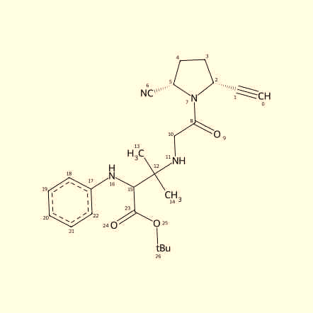 C#C[C@H]1CC[C@@H](C#N)N1C(=O)CNC(C)(C)C(Nc1ccccc1)C(=O)OC(C)(C)C